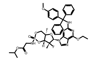 CCOc1nc(NC(c2ccccc2)(c2ccccc2)c2ccc(OC)cc2)nc2c1ncn2[C@@H]1O[C@]2(F)COP(=O)(NCC(=O)OC(C)C)O[C@H]2[C@@]1(C)F